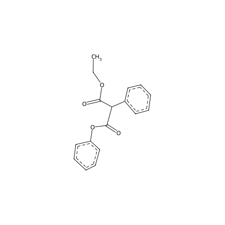 CCOC(=O)C(C(=O)Oc1ccccc1)c1ccccc1